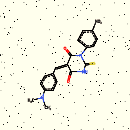 CN(C)c1ccc(C=C2C(=O)NC(=S)N(c3ccc([N+](=O)[O-])cc3)C2=O)cc1